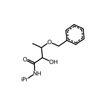 CC(C)NC(=O)C(O)C(C)OCc1ccccc1